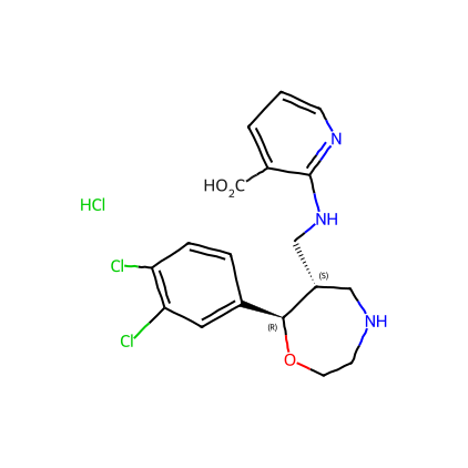 Cl.O=C(O)c1cccnc1NC[C@@H]1CNCCO[C@H]1c1ccc(Cl)c(Cl)c1